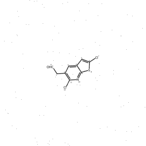 O=CCc1cc2cc(Cl)sc2nc1Cl